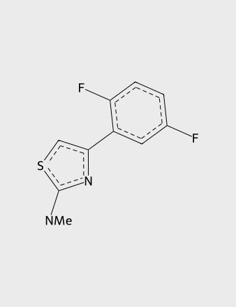 CNc1nc(-c2cc(F)ccc2F)cs1